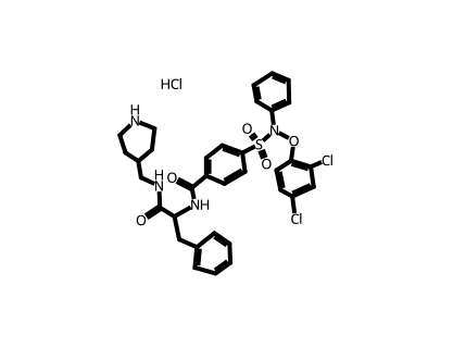 Cl.O=C(NC(Cc1ccccc1)C(=O)NCC1CCNCC1)c1ccc(S(=O)(=O)N(Oc2ccc(Cl)cc2Cl)c2ccccc2)cc1